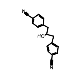 N#Cc1ccc(CC(O)Cc2ccc(C#N)cc2)cc1